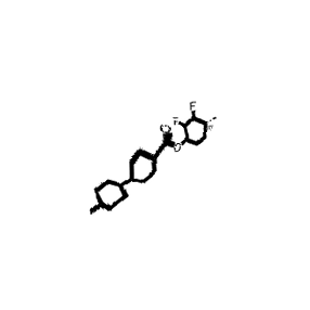 CC1CCC(C2CCC(C(=O)OC3CC[C@@H](C)C(F)C3F)CC2)CC1